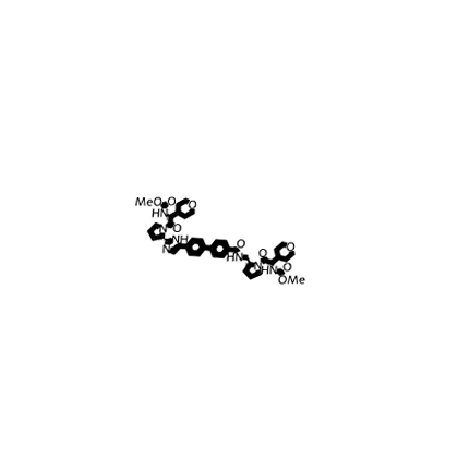 COC(=O)N[C@H](C(=O)N1CCC[C@H]1CNC(=O)c1ccc(-c2ccc(-c3cnc([C@@H]4CCCN4C(=O)[C@@H](NC(=O)OC)C4CCOCC4)[nH]3)cc2)cc1)C1CCOCC1